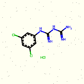 Cl.N=C(N)NC(=N)Nc1cc(Cl)cc(Cl)c1